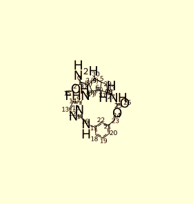 NC(=O)[C@H]1[C@H]2C[C@H]3[C@H]1Nc1nc(ncc1F)Nc1cccc(c1)COC(=O)N[C@@H]3C2